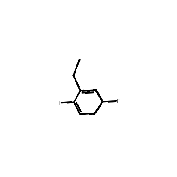 CCC1=CC(F)CC=C1I